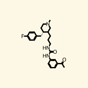 CC(=O)c1cccc(NC(=O)NCCCC2CN(C)CC[C@H]2Cc2ccc(F)cc2)c1